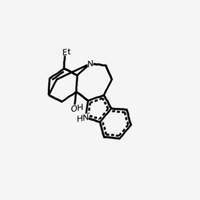 CCC1=CC2CN3CCc4c([nH]c5ccccc45)C(O)(C2)C13